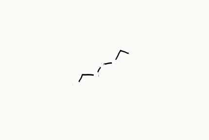 CC[SiH2]N[SiH2]CC